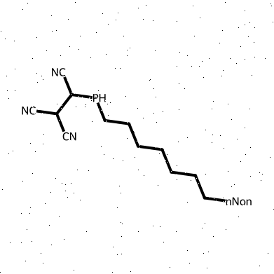 CCCCCCCCCCCCCCCCPC(C#N)C(C#N)C#N